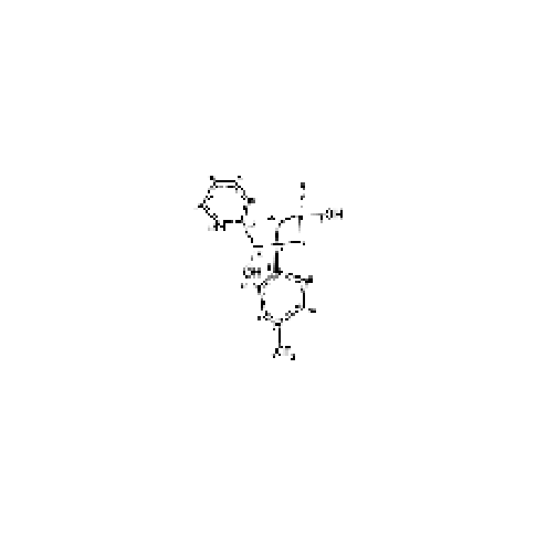 C[C@]1(O)C[C@](c2ccc(C(F)(F)F)cc2)([C@H](O)c2ccccn2)C1